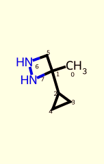 CC1(C2CC2)CNN1